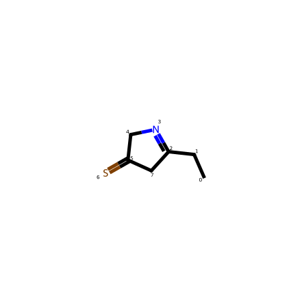 CCC1=NCC(=S)C1